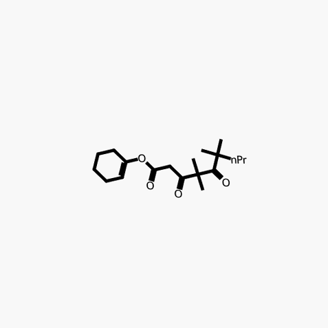 CCCC(C)(C)C(=O)C(C)(C)C(=O)CC(=O)OC1=CCCCC1